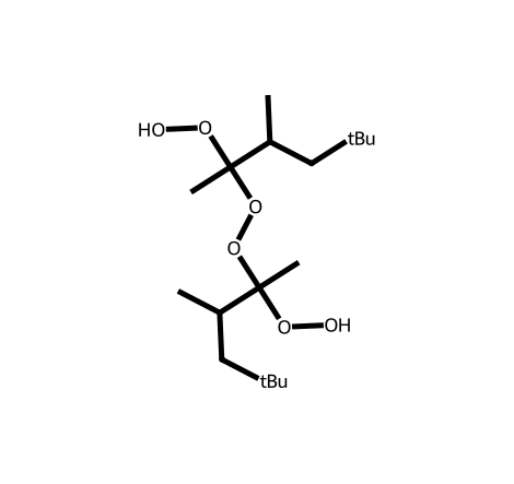 CC(CC(C)(C)C)C(C)(OO)OOC(C)(OO)C(C)CC(C)(C)C